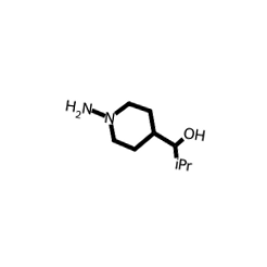 CC(C)C(O)C1CCN(N)CC1